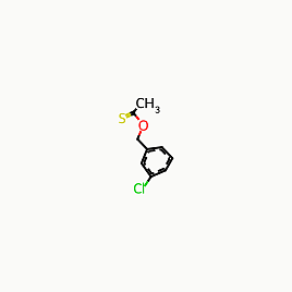 CC(=S)OCc1cccc(Cl)c1